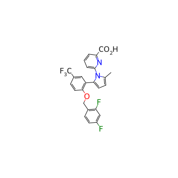 Cc1ccc(-c2cc(C(F)(F)F)ccc2OCc2ccc(F)cc2F)n1-c1cccc(C(=O)O)n1